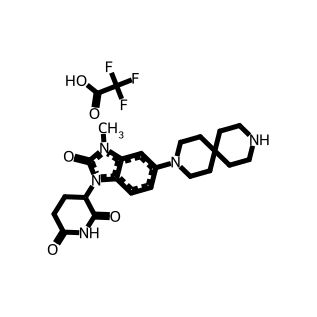 Cn1c(=O)n(C2CCC(=O)NC2=O)c2ccc(N3CCC4(CCNCC4)CC3)cc21.O=C(O)C(F)(F)F